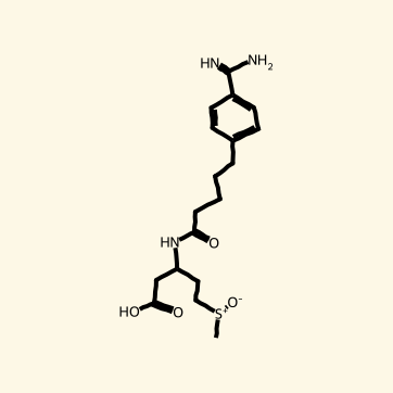 C[S+]([O-])CCC(CC(=O)O)NC(=O)CCCCc1ccc(C(=N)N)cc1